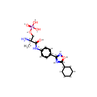 C[C@](N)(COP(=O)(O)O)C(=O)Nc1ccc(-c2noc(C3CCCCC3)n2)cc1